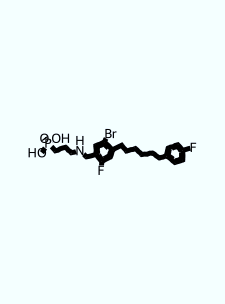 O=P(O)(O)CCCNCc1cc(Br)c(CCCCCCc2ccc(F)cc2)cc1F